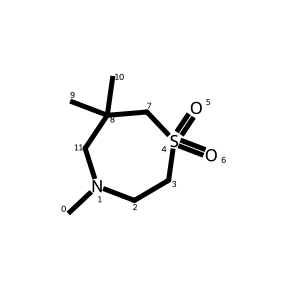 CN1CCS(=O)(=O)CC(C)(C)C1